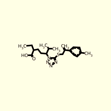 C=C(CSc1nnnn1C(CCC(CC)C(=O)O)C(C)C)c1ccc(C)cc1